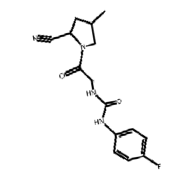 CC1CC(C#N)N(C(=O)CNC(=O)Nc2ccc(F)cc2)C1